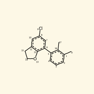 Cc1cccc(-c2cc(Cl)cc3c2O[CH]C3)c1C